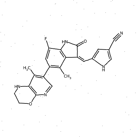 Cc1c(-c2cc(F)c3c(c2C)/C(=C/c2cc(C#N)c[nH]2)C(=O)N3)cnc2c1NCCO2